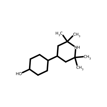 CC1(C)CC(C2CCC(O)CC2)CC(C)(C)N1